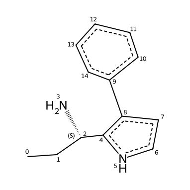 CC[C@H](N)c1[nH]ccc1-c1ccccc1